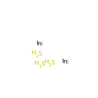 S.S.S.[In].[In]